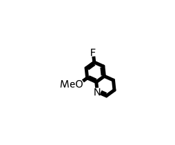 COc1cc(F)cc2c1N=CCC2